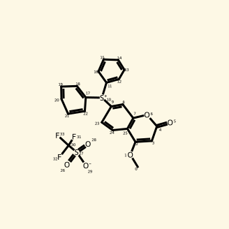 COc1cc(=O)oc2cc([S+](c3ccccc3)c3ccccc3)ccc12.O=S(=O)([O-])C(F)(F)F